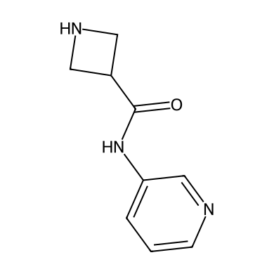 O=C(Nc1cccnc1)C1CNC1